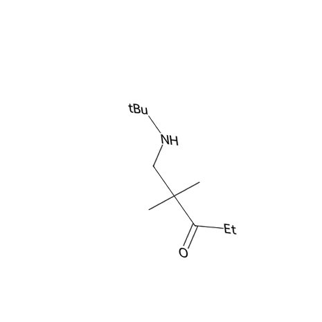 CCC(=O)C(C)(C)CNC(C)(C)C